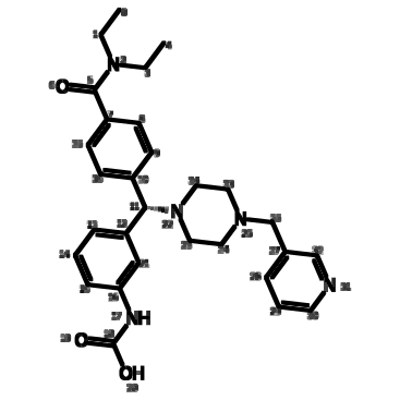 CCN(CC)C(=O)c1ccc([C@@H](c2cccc(NC(=O)O)c2)N2CCN(Cc3cccnc3)CC2)cc1